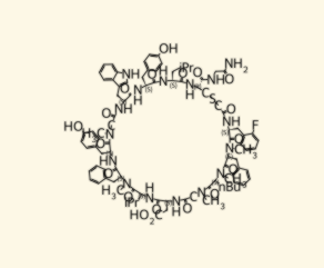 CCCC[C@H]1C(=O)N(C)CC(=O)N[C@@H](CC(=O)O)C(=O)N[C@@H](C(C)C)C(=O)N(C)[C@@H](Cc2ccccc2)C(=O)N[C@@H](Cc2ccc(O)cc2)C(=O)N(C)CC(=O)N[C@@H](Cc2c[nH]c3ccccc23)C(=O)N[C@@H](Cc2ccc(O)cc2)C(=O)N[C@@H](CC(C)C)C(=O)N[C@H](C(=O)NCC(N)=O)CSCC(=O)N[C@@H](Cc2ccccc2F)C(=O)N(C)[C@@H](Cc2ccccc2)C(=O)N1C